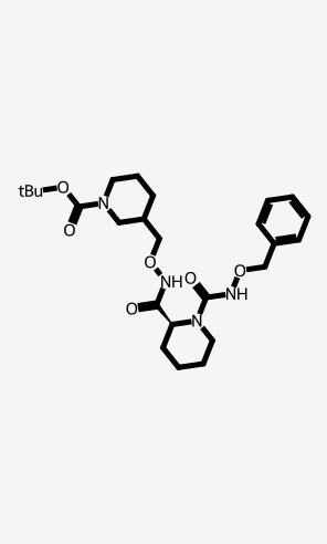 CC(C)(C)OC(=O)N1CCCC(CONC(=O)[C@@H]2CCCCN2C(=O)NOCc2ccccc2)C1